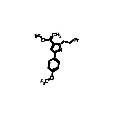 C=C(OCC)c1cc(-c2ccc(OC(F)(F)F)cc2)nn1CCC(C)C